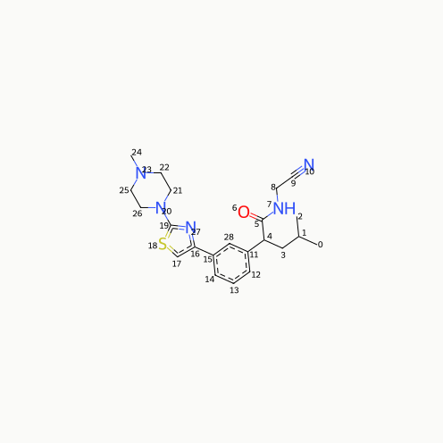 CC(C)CC(C(=O)NCC#N)c1cccc(-c2csc(N3CCN(C)CC3)n2)c1